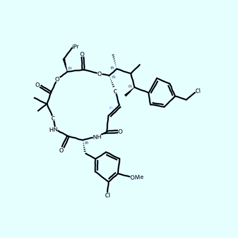 COc1ccc(C[C@H]2NC(=O)/C=C/C[C@@H]([C@H](C)C(C)[C@H](C)c3ccc(CCl)cc3)OC(=O)[C@H](CC(C)C)OC(=O)C(C)(C)CNC2=O)cc1Cl